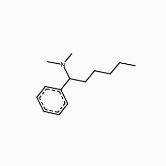 CCCCCC(c1ccccc1)N(C)C